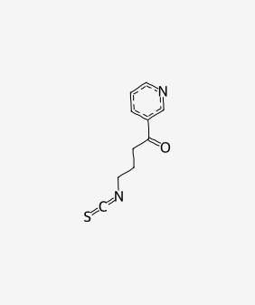 O=C(CCCN=C=S)c1cccnc1